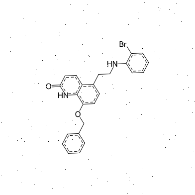 O=c1ccc2c(CCNc3ccccc3Br)ccc(OCc3ccccc3)c2[nH]1